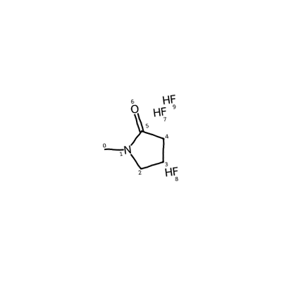 CN1CCCC1=O.F.F.F